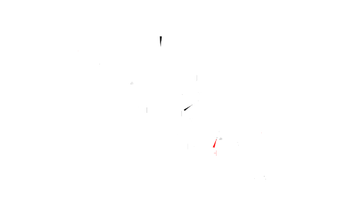 CC(=O)OCC(=O)[C@@]1(O)CC[C@H]2[C@@H]3C[C@H](C)C4=CC(=O)C=C[C@]4(C)C3=CC[C@@]21C